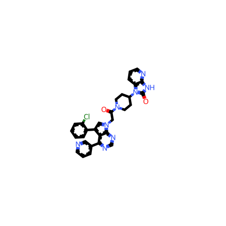 O=C(Cn1cc(-c2ccccc2Cl)c2c(-c3cccnc3)ncnc21)N1CCC(n2c(=O)[nH]c3ncccc32)CC1